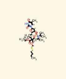 CCCCSSCOCC(CC)(COP(OC1C[C@H](n2cc(C)c(=O)[nH]c2=O)O[C@@H]1CC)N(C(C)C)C(C)C)C(=O)OCC